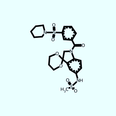 CS(=O)(=O)Nc1ccc2c(c1)C1(CN2C(=O)c2cccc(S(=O)(=O)N3CCCCC3)c2)OCCCO1